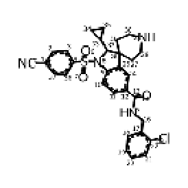 N#Cc1ccc(S(=O)(=O)N2c3ccc(C(=O)NCc4ccccc4Cl)cc3C3(CCNCC3)C2C2CC2)cc1